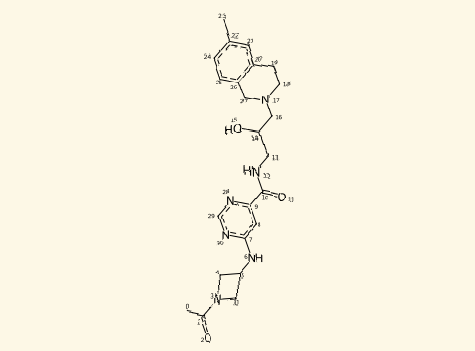 CC(=O)N1CC(Nc2cc(C(=O)NCC(O)CN3CCc4cc(C)ccc4C3)ncn2)C1